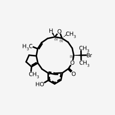 CC1=CC[C@@H]2O[C@@]2(C)CC[C@@H](C(C)(C)Br)OC(=O)c2ccc(O)c(c2)CC2=C(C)CCC12